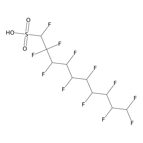 O=S(=O)(O)C(F)C(F)(F)C(F)C(F)C(F)C(F)C(F)C(F)C(F)C(F)F